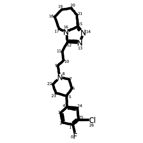 Fc1ccc(C2CCN(CCCc3nnc4n3CCCCC4)CC2)cc1Cl